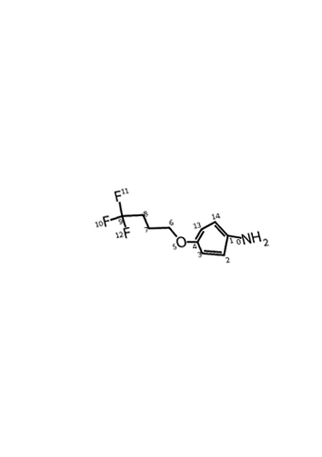 Nc1ccc(OCCCC(F)(F)F)cc1